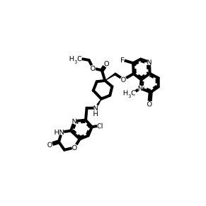 CCOC(=O)[C@]1(COc2c(F)cnc3ccc(=O)n(C)c23)CC[C@@H](NCc2nc3c(cc2Cl)OCC(=O)N3)CC1